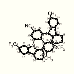 Cc1cc(-c2c(-n3c4ccccc4c4ccc(C)cc43)cc(C#N)cc2-n2c3ccccc3c3ccc(C(F)(F)F)cc32)cc(C(F)(F)F)c1